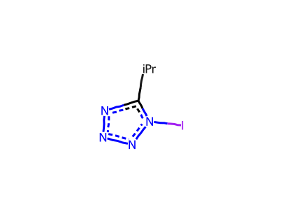 CC(C)c1nnnn1I